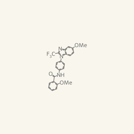 COc1ccc2c(c1)nc(C(F)(F)F)n2-c1ccc(NC(=O)c2ccccc2OC)cc1